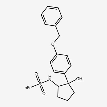 CCCS(=O)(=O)NC1CCCC1(O)c1ccc(OCc2ccccc2)cc1